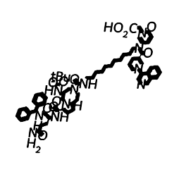 CC(C)(C)OC(=O)N[C@H]1CN(C(=O)NCCCCCCCCCCCN(C(=O)[C@H]2CCCN(c3cncc4ccccc34)C2)c2ccc(=O)n(CC(=O)O)c2)CC[C@H]2CC[C@@H](C(=O)N[C@@H](CCC(N)=O)C(=O)NC(c3ccccc3)c3ccccc3)N2C1=O